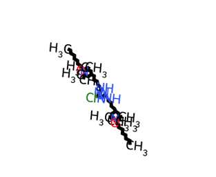 CCCCCCCCON1C(C)(C)CC(CCCCNc2nc(Cl)nc(NCCCCC3CC(C)(C)N(OCCCCCCCC)C(C)(C)C3)n2)CC1(C)C